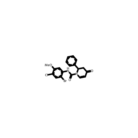 COc1cc(NC(=O)N2C=CC(=O)CC2c2ccccc2)c(Br)cc1Cl